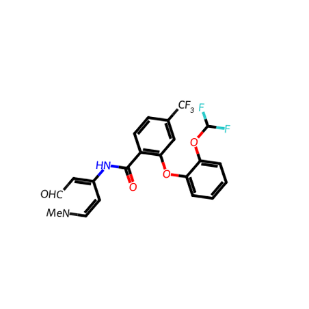 CN/C=C\C(=C/C=O)NC(=O)c1ccc(C(F)(F)F)cc1Oc1ccccc1OC(F)F